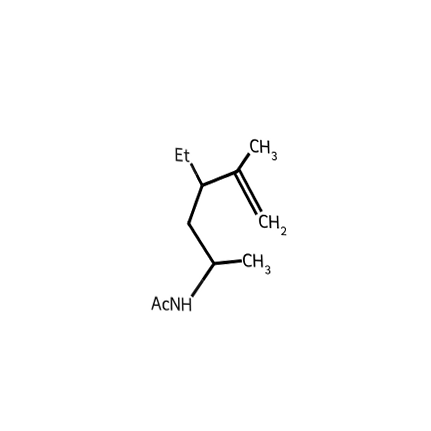 C=C(C)C(CC)CC(C)NC(C)=O